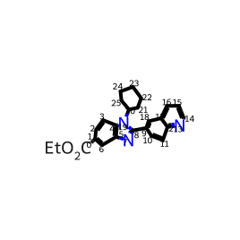 CCOC(=O)c1ccc2c(c1)nc(-c1ccc3ncccc3c1)n2C1CCCCC1